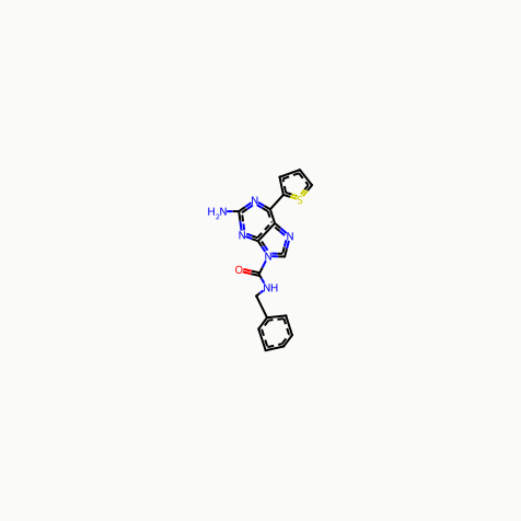 Nc1nc(-c2cccs2)c2ncn(C(=O)NCc3ccccc3)c2n1